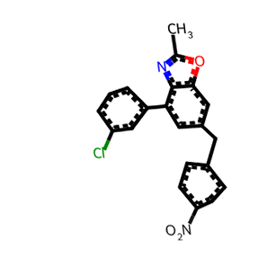 Cc1nc2c(-c3cccc(Cl)c3)cc(Cc3ccc([N+](=O)[O-])cc3)cc2o1